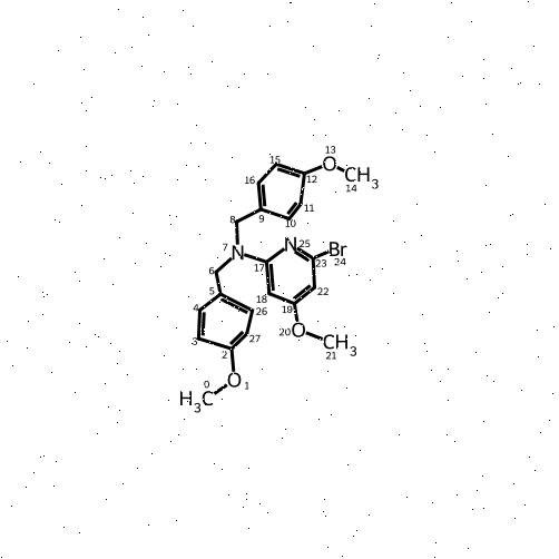 COc1ccc(CN(Cc2ccc(OC)cc2)c2cc(OC)cc(Br)n2)cc1